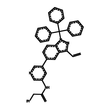 C=Cc1nn(C(c2ccccc2)(c2ccccc2)c2ccccc2)c2ccc(-c3cncc(NC(=C)CC(C)C)c3)cc12